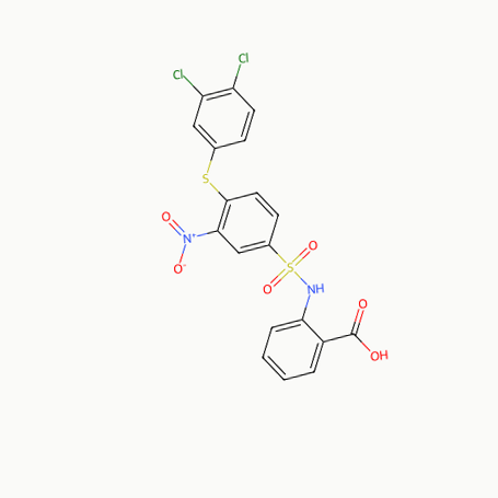 O=C(O)c1ccccc1NS(=O)(=O)c1ccc(Sc2ccc(Cl)c(Cl)c2)c([N+](=O)[O-])c1